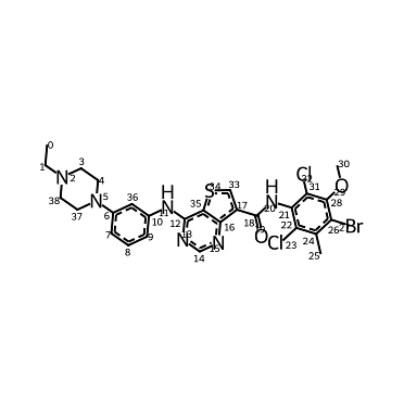 CCN1CCN(c2cccc(Nc3ncnc4c(C(=O)Nc5c(Cl)c(C)c(Br)c(OC)c5Cl)csc34)c2)CC1